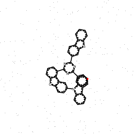 c1ccc(-c2nc(-c3ccc4c(c3)sc3ccccc34)nc(-c3cccc4oc5ccc(-n6c7ccccc7c7ccccc76)cc5c34)n2)cc1